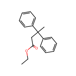 CCOC(=O)CC(C)(c1ccccc1)c1ccccc1